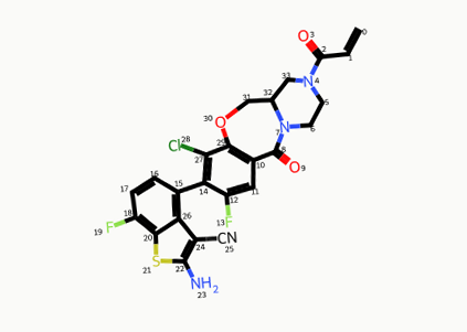 C=CC(=O)N1CCN2C(=O)c3cc(F)c(-c4ccc(F)c5sc(N)c(C#N)c45)c(Cl)c3OCC2C1